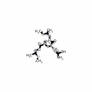 CS/C(C)=N\OC(=O)N(C)SN(C)C(=O)O/N=C(/C)SC.NC(=O)O